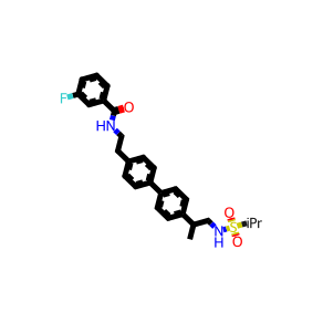 CC(CNS(=O)(=O)C(C)C)c1ccc(-c2ccc(CCNC(=O)c3cccc(F)c3)cc2)cc1